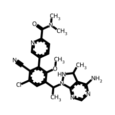 COc1c(C(C)N2NC(C)c3c(N)ncnc32)cc(Cl)c(C#N)c1-c1ccc(C(=O)N(C)C)nc1